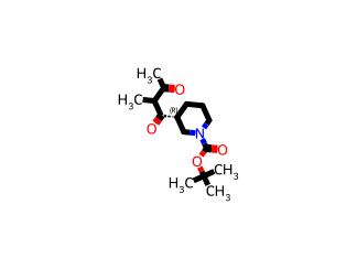 CC(=O)C(C)C(=O)[C@@H]1CCCN(C(=O)OC(C)(C)C)C1